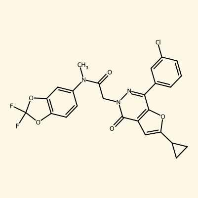 CN(C(=O)Cn1nc(-c2cccc(Cl)c2)c2oc(C3CC3)cc2c1=O)c1ccc2c(c1)OC(F)(F)O2